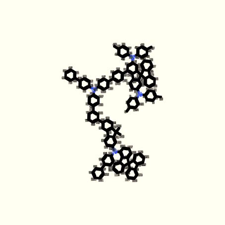 Cc1ccc(N(c2ccc(C)cc2)c2ccc3c(c2)C2(c4ccccc4-c4ccccc42)c2cc(N(c4ccc(C)cc4)c4ccc(C)cc4)cc(-c4ccc(-c5ccc(N(c6ccc(-c7ccccc7)cc6)c6ccc(-c7cccc(-c8ccc9c(c8)-c8ccc(N(c%10ccc(-c%11ccccc%11)cc%10)c%10cccc%11c%10-c%10ccccc%10C%11%10c%11ccccc%11-c%11ccccc%11%10)cc8C9(C)C)c7)cc6)cc5)cc4)c2-3)cc1